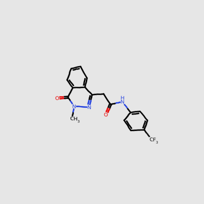 Cn1nc(CC(=O)Nc2ccc(C(F)(F)F)cc2)c2ccccc2c1=O